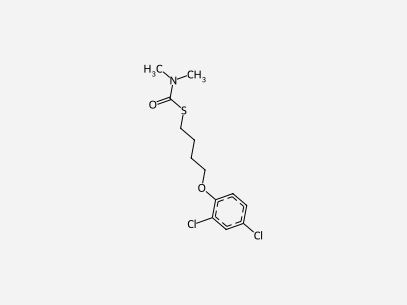 CN(C)C(=O)SCCCCOc1ccc(Cl)cc1Cl